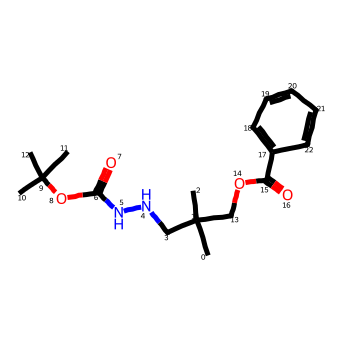 CC(C)(CNNC(=O)OC(C)(C)C)COC(=O)c1ccccc1